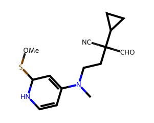 COSC1C=C(N(C)CCC(C#N)(C=O)C2CC2)C=CN1